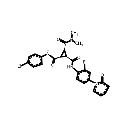 CN(C)C(=O)[C@H]1[C@H](C(=O)Nc2ccc(Cl)cc2)[C@@H]1C(=O)Nc1ccc(-n2ccccc2=O)cc1F